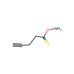 C#CCCC(=S)O[SiH3]